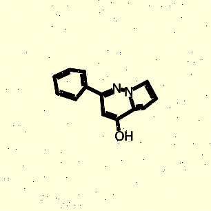 Oc1cc(-c2ccccc2)nn2cccc12